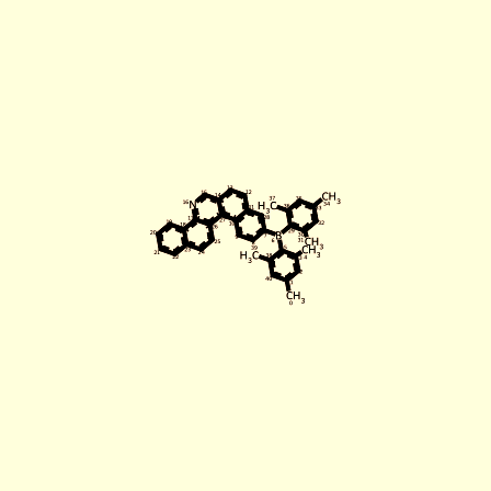 Cc1cc(C)c(B(c2ccc3c(ccc4cnc5c6ccccc6ccc5c43)c2)c2c(C)cc(C)cc2C)c(C)c1